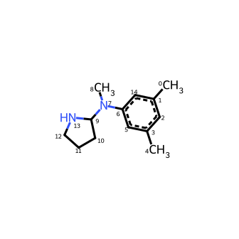 Cc1cc(C)cc(N(C)C2CCCN2)c1